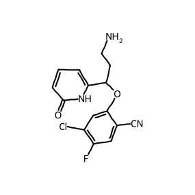 N#Cc1cc(F)c(Cl)cc1OC(CCN)c1cccc(=O)[nH]1